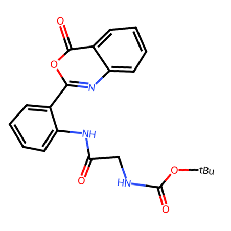 CC(C)(C)OC(=O)NCC(=O)Nc1ccccc1-c1nc2ccccc2c(=O)o1